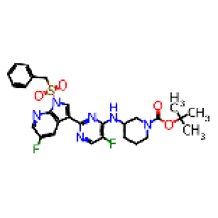 CC(C)(C)OC(=O)N1CCCC(Nc2nc(-c3cn(S(=O)(=O)Cc4ccccc4)c4ncc(F)cc34)ncc2F)C1